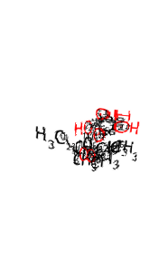 CCCCCC(C)(C)Oc1ccc([C@H]2Oc3cc(O)cc(O)c3C[C@H]2O)cc1OC(C)(CC)CCCC